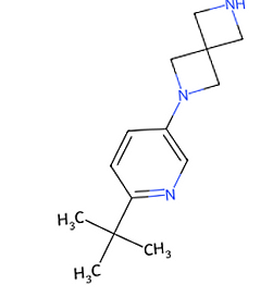 CC(C)(C)c1ccc(N2CC3(CNC3)C2)cn1